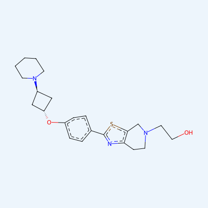 OCCN1CCc2nc(-c3ccc(O[C@H]4C[C@H](N5CCCCC5)C4)cc3)sc2C1